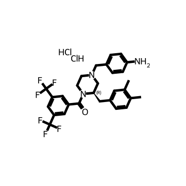 Cc1ccc(C[C@@H]2CN(Cc3ccc(N)cc3)CCN2C(=O)c2cc(C(F)(F)F)cc(C(F)(F)F)c2)cc1C.Cl.Cl